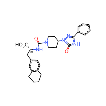 O=C(O)[C@@H](Cc1ccc2c(c1)CCCC2)NC(=O)N1CCC(n2nc(-c3ccccc3)[nH]c2=O)CC1